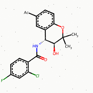 CC(=O)c1ccc2c(c1)[C@@H](NC(=O)c1ccc(F)cc1Cl)[C@H](O)C(C)(C)O2